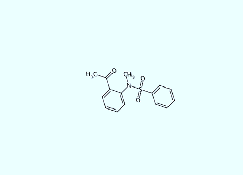 CC(=O)c1ccccc1N(C)S(=O)(=O)c1ccccc1